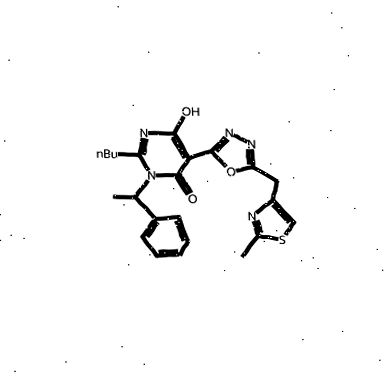 CCCCc1nc(O)c(-c2nnc(Cc3csc(C)n3)o2)c(=O)n1C(C)c1ccccc1